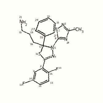 Cc1nsc(N2N=C(c3cc(F)ccc3F)SC2(CCCN)c2ccccc2)n1